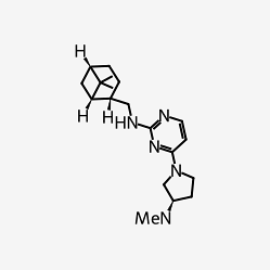 CN[C@@H]1CCN(c2ccnc(NC[C@H]3CC[C@H]4C[C@@H]3C4(C)C)n2)C1